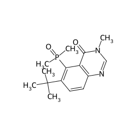 Cn1cnc2ccc(C(C)(C)C)c(P(C)(C)=O)c2c1=O